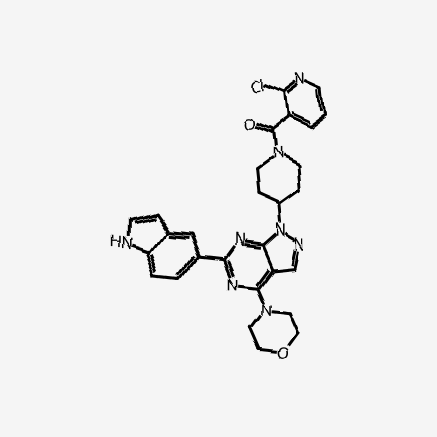 O=C(c1cccnc1Cl)N1CCC(n2ncc3c(N4CCOCC4)nc(-c4ccc5[nH]ccc5c4)nc32)CC1